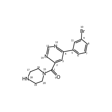 O=C(c1cc(-c2cccc(Br)c2)ncn1)N1CCNCC1